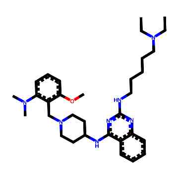 CCN(CC)CCCCCNc1nc(NC2CCN(Cc3c(OC)cccc3N(C)C)CC2)c2ccccc2n1